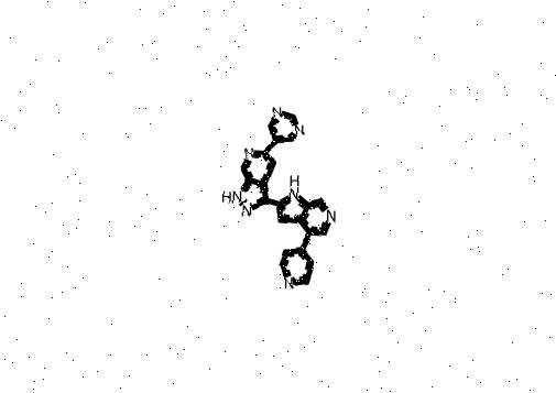 c1cc(-c2cncc3[nH]c(-c4n[nH]c5cnc(-c6cncnc6)cc45)cc23)ccn1